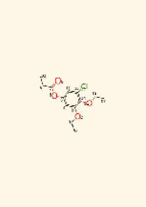 CCOc1cc(OC(=O)CC)cc(Cl)c1OCC